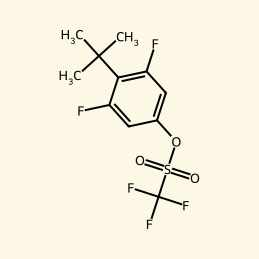 CC(C)(C)c1c(F)cc(OS(=O)(=O)C(F)(F)F)cc1F